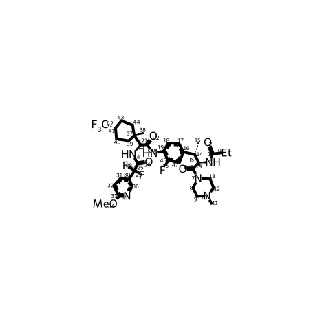 CCC(=O)N[C@@H](C(=O)N1CCN(C)CC1)[C@@H](C)c1ccc(NC(=O)[C@@H](NC(=O)C(F)(F)c2ccc(OC)nc2)[C@]2(C)CC[C@H](C(F)(F)F)CC2)c(F)c1